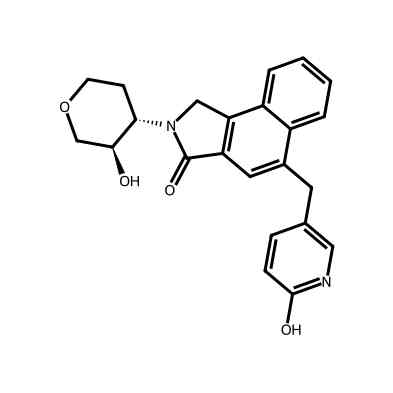 O=C1c2cc(Cc3ccc(O)nc3)c3ccccc3c2CN1[C@H]1CCOC[C@@H]1O